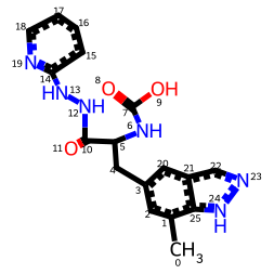 Cc1cc(CC(NC(=O)O)C(=O)NNc2ccccn2)cc2cn[nH]c12